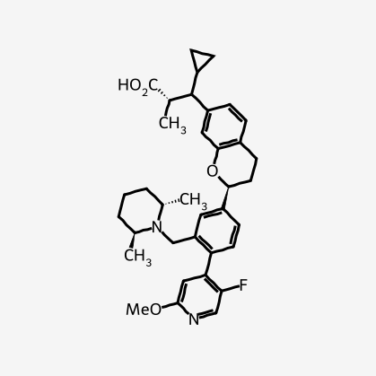 COc1cc(-c2ccc([C@@H]3CCc4ccc(C(C5CC5)[C@H](C)C(=O)O)cc4O3)cc2CN2[C@@H](C)CCC[C@@H]2C)c(F)cn1